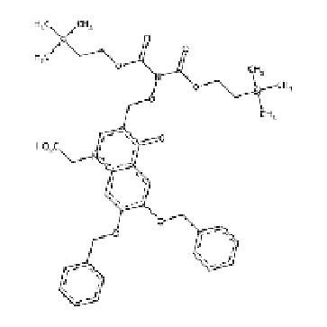 C[Si](C)(C)CCOC(=O)N(OCc1cn(CC(=O)O)c2cc(OCc3ccccc3)c(OCc3ccccc3)cc2c1=O)C(=O)OCC[Si](C)(C)C